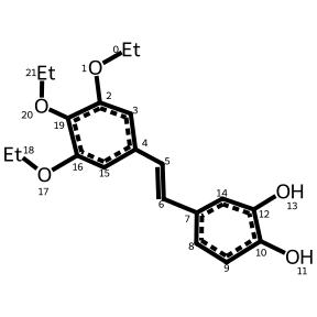 CCOc1cc(C=Cc2ccc(O)c(O)c2)cc(OCC)c1OCC